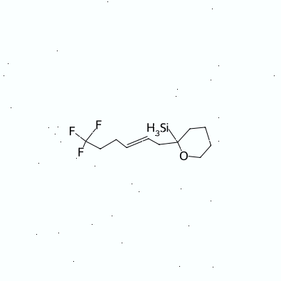 FC(F)(F)CCC=CCC1([SiH3])CCCCO1